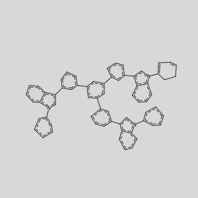 C1=CCCC(n2cc(-c3cccc(-c4cc(-c5cccc(-c6cn(-c7ccccc7)c7ccccc67)c5)cc(-c5cccc(-c6cn(-c7ccccc7)c7ccccc67)c5)c4)c3)c3ccccc32)=C1